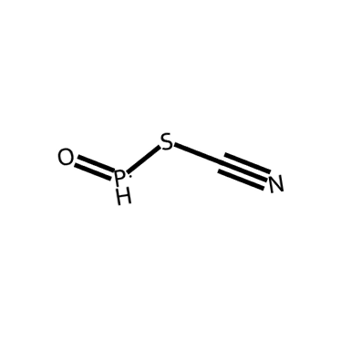 N#CS[PH]=O